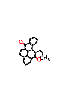 C/C=C\c1c2c3ccccc3c(=O)c3ccc4cccc(c1=O)c4c3-2